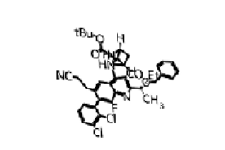 CCOC(=O)c1c([C@@H](C)OCc2ccccc2)nc2c(F)c(-c3cccc(Cl)c3Cl)c(CCC#N)cc2c1N[C@H]1[C@@H]2C[C@H]1N(C(=O)OC(C)(C)C)C2